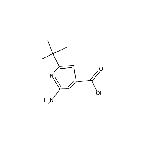 CC(C)(C)c1cc(C(=O)O)cc(N)n1